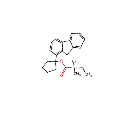 CCC(C)(C)C(=O)OC1(c2cccc3c2Cc2ccccc2-3)CCCC1